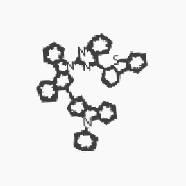 C1=CC(c2nc(-n3c4ccccc4c4c5ccccc5c(-c5ccc6c(c5)c5ccccc5n6-c5ccccc5)cc43)nc3ccccc23)=C2Sc3ccccc3C2C1